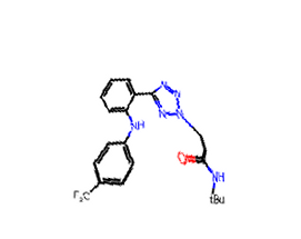 CC(C)(C)NC(=O)Cn1nnc(-c2ccccc2Nc2ccc(C(F)(F)F)cc2)n1